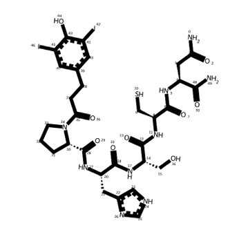 NC(=O)C[C@H](NC(=O)[C@H](CS)NC(=O)[C@H](CO)NC(=O)[C@H](Cc1c[nH]cn1)NC(=O)[C@@H]1CCCN1C(=O)CCc1cc(I)c(O)c(I)c1)C(N)=O